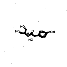 CCCCCCCCc1ccc(CC(=O)NC(CO)CO)cc1.Cl